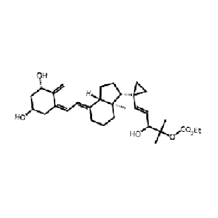 C=C1/C(=C\C=C2/CCC[C@]3(C)[C@@H](C4(/C=C/[C@H](O)C(C)(C)OC(=O)OCC)CC4)CC[C@@H]23)C[C@@H](O)C[C@@H]1O